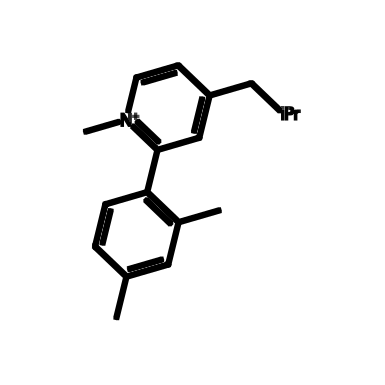 Cc1ccc(-c2cc(CC(C)C)cc[n+]2C)c(C)c1